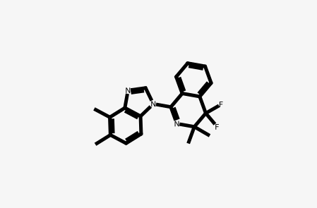 Cc1ccc2c(ncn2C2=NC(C)(C)C(F)(F)c3ccccc32)c1C